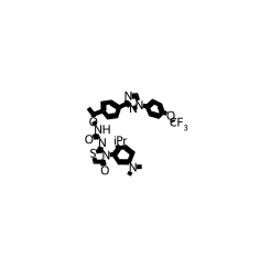 CC(C)c1ccc(N(C)C)cc1N1C(=O)CS/C1=N\C(=O)NOC(C)c1ccc(-c2ncn(-c3ccc(OC(F)(F)F)cc3)n2)cc1